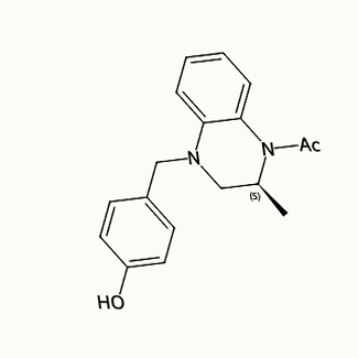 CC(=O)N1c2ccccc2N(Cc2ccc(O)cc2)C[C@@H]1C